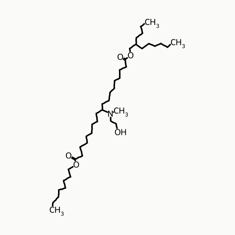 CCCCCCCCOC(=O)CCCCCCCCC(CCCCCCCCC(=O)OCC(CCCC)CCCCCC)N(C)CCO